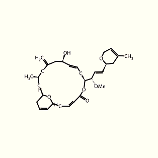 C=C1C[C@H](C)C[C@@H]2CC=C[C@@H](C/C=C\C(=O)O[C@H]([C@H](/C=C/[C@@H]3CC(C)=CCO3)OC)C/C=C/[C@H](O)C1)O2